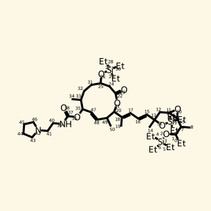 CCC(O[Si](CC)(CC)CC)C(C)C1OC1CC(C)(/C=C/C=C(\C)C1OC(=O)CC(O[Si](CC)(CC)CC)CCC(C)C(OC(=O)NCCN2CCCC2)/C=C/C1C)O[Si](CC)(CC)CC